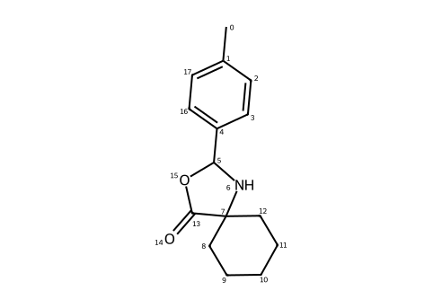 Cc1ccc(C2NC3(CCCCC3)C(=O)O2)cc1